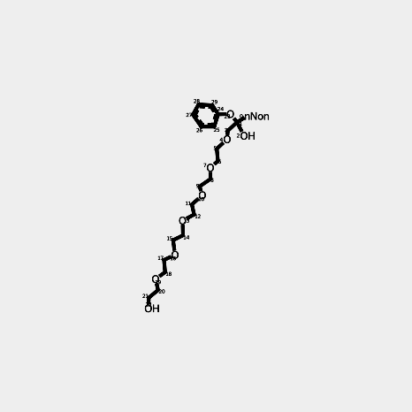 CCCCCCCCCC(O)(COCCOCCOCCOCCOCCOCCO)Oc1ccccc1